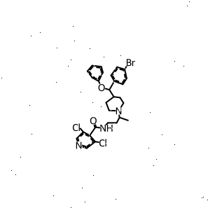 CC(CCNC(=O)c1c(Cl)cncc1Cl)N1CCC(C(Oc2ccccc2)c2ccc(Br)cc2)CC1